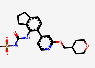 CS(=O)(=O)NC(=O)Nc1c(-c2ccnc(OCC3CCOCC3)c2)ccc2c1CCC2